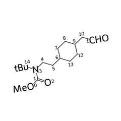 COC(=O)N(CCC1CCC(CC=O)CC1)C(C)(C)C